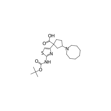 CC(C)(C)OC(=O)Nc1nc(C2(C(=O)O)CCC(N3CCCCCCC3)C2)cs1